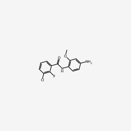 COc1cc(N)ccc1NC(=O)c1cccc(Cl)c1F